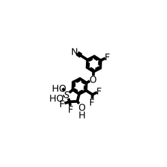 N#Cc1cc(F)cc(Oc2ccc3c(c2C(F)F)C(O)C(F)(F)S3(O)O)c1